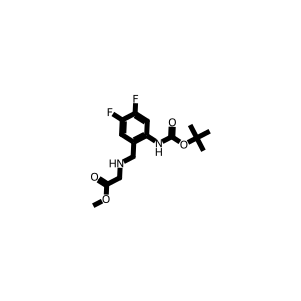 COC(=O)CNCc1cc(F)c(F)cc1NC(=O)OC(C)(C)C